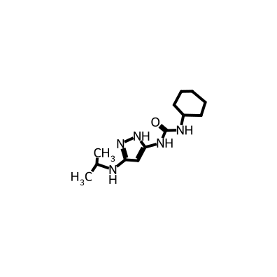 CC(C)Nc1cc(NC(=O)NC2CCCCC2)[nH]n1